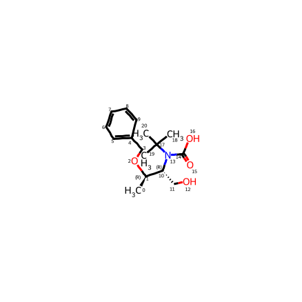 C[C@@H](OCc1ccccc1)[C@@H](CO)N(C(=O)O)C(C)(C)C